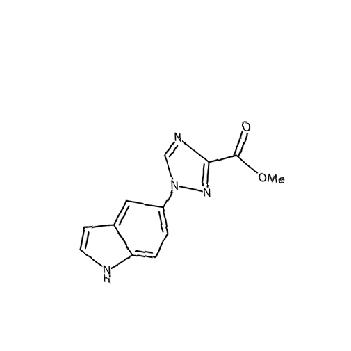 COC(=O)c1ncn(-c2ccc3[nH]ccc3c2)n1